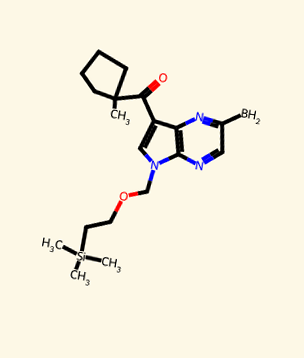 Bc1cnc2c(n1)c(C(=O)C1(C)CCCC1)cn2COCC[Si](C)(C)C